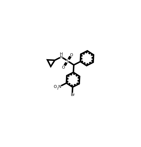 O=[N+]([O-])c1cc(C(c2ccccc2)S(=O)(=O)NC2CC2)ccc1Br